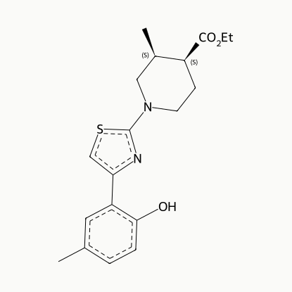 CCOC(=O)[C@H]1CCN(c2nc(-c3cc(C)ccc3O)cs2)C[C@H]1C